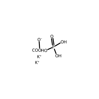 O=C([O-])[O-].O=P(O)(O)O.[K+].[K+]